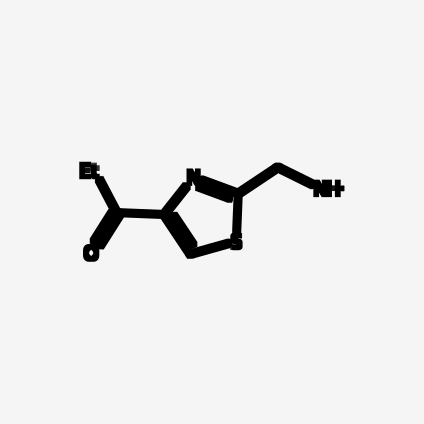 CCC(=O)c1csc(C[NH])n1